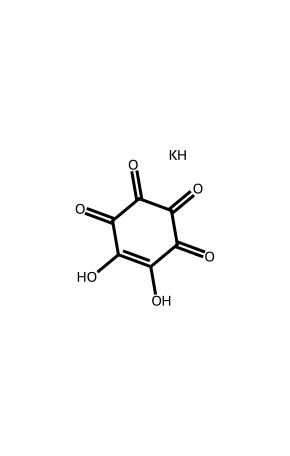 O=c1c(O)c(O)c(=O)c(=O)c1=O.[KH]